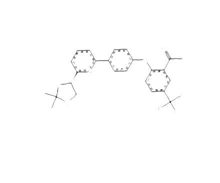 CC(=O)c1cc(C(F)(F)F)ccc1Oc1ccc(-c2cccc([C@H]3COC(C)(C)O3)n2)cc1